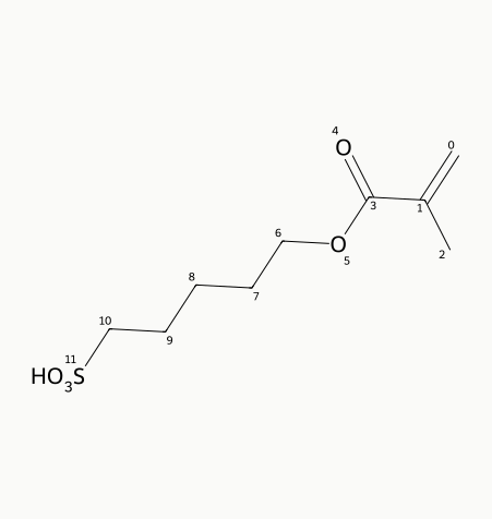 C=C(C)C(=O)OCCCCCS(=O)(=O)O